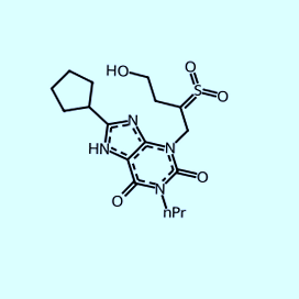 CCCn1c(=O)c2[nH]c(C3CCCC3)nc2n(CC(CCO)=S(=O)=O)c1=O